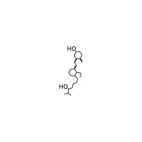 C=C1CC[C@H](O)C/C1=C/C=C1\CCC[C@@]2(C)C1CC[C@@H]2[C@H](C)CCC(O)C(C)C